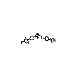 Fc1cnc(N2CCC(n3ncc(COc4ccc(-n5cnnn5)nc4)n3)CC2)nc1